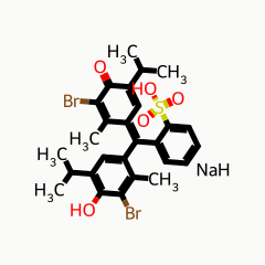 CC1=C(Br)C(=O)C(C(C)C)=C/C1=C(\c1ccccc1S(=O)(=O)O)c1cc(C(C)C)c(O)c(Br)c1C.[NaH]